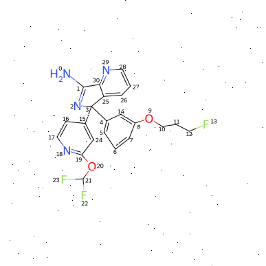 NC1=NC(c2cccc(OCCCF)c2)(c2ccnc(OC(F)F)c2)c2cccnc21